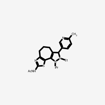 CCN1C(c2ccc(C)nc2)C2=C(c3sc(NC(C)=O)nc3CCC2)N1C(C)C